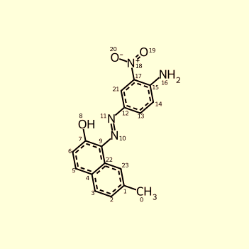 Cc1ccc2ccc(O)c(N=Nc3ccc(N)c([N+](=O)[O-])c3)c2c1